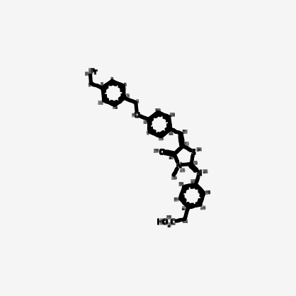 CC(C)Cc1ccc(COc2ccc(C=C3SC(=Nc4ccc(CC(=O)O)cc4)N(C)C3=O)cc2)cc1